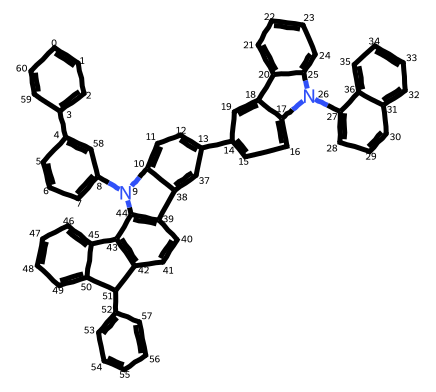 c1ccc(-c2cccc(-n3c4ccc(-c5ccc6c(c5)c5ccccc5n6-c5cccc6ccccc56)cc4c4ccc5c(c43)-c3ccccc3C5c3ccccc3)c2)cc1